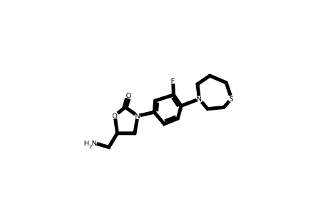 NCC1CN(c2ccc(N3CCCSCC3)c(F)c2)C(=O)O1